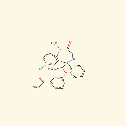 COC(=O)c1cccc(OC(C(=O)O)C2(c3ccccc3)NCC(=O)N(C)c3ccc(Cl)cc32)c1